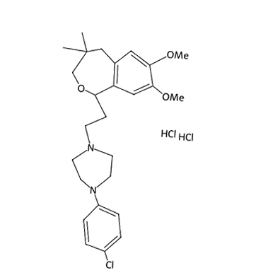 COc1cc2c(cc1OC)C(CCN1CCN(c3ccc(Cl)cc3)CC1)OCC(C)(C)C2.Cl.Cl